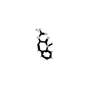 CN1C(=O)C(OC(N)=O)C=Cc2ccccc21